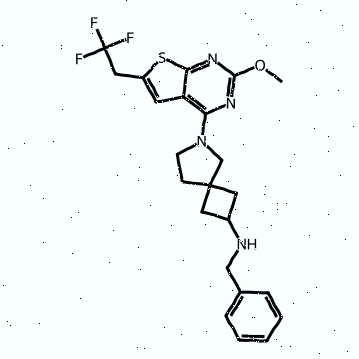 COc1nc(N2CCC3(CC(NCc4ccccc4)C3)C2)c2cc(CC(F)(F)F)sc2n1